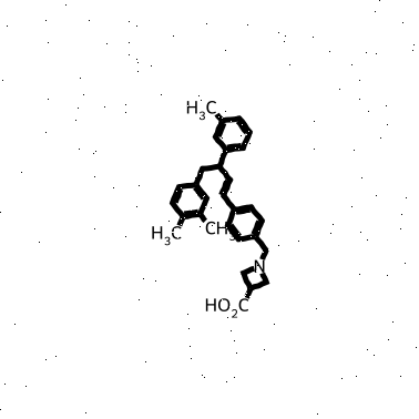 Cc1cccc(C(/C=C/c2ccc(CN3CC(C(=O)O)C3)cc2)Cc2ccc(C)c(C)c2)c1